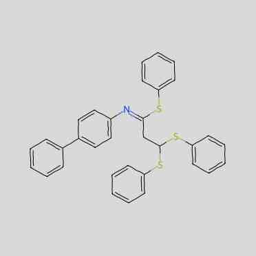 c1ccc(SC(CC(Sc2ccccc2)Sc2ccccc2)=Nc2ccc(-c3ccccc3)cc2)cc1